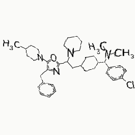 CC1CCN(c2oc(C(CC3CCC(C(c4ccc(Cl)cc4)N(C)C)CC3)N3CCCCC3)nc2Cc2ccccc2)CC1